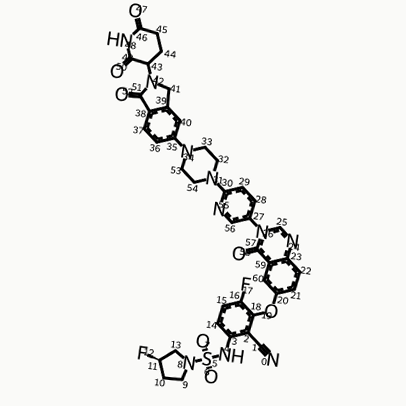 N#Cc1c(NS(=O)(=O)N2CC[C@@H](F)C2)ccc(F)c1Oc1ccc2ncn(-c3ccc(N4CCN(c5ccc6c(c5)CN(C5CCC(=O)NC5=O)C6=O)CC4)nc3)c(=O)c2c1